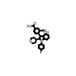 N#Cc1cc(C(=O)O)ccc1-c1c(C2CCOCC2)n(-c2ccc(F)cc2)c2cccc(O)c12